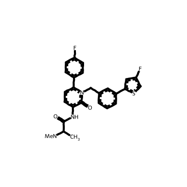 CNC(C)C(=O)Nc1ccc(-c2ccc(F)cc2)n(Cc2cccc(-c3cc(F)cs3)c2)c1=O